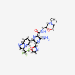 CN1CCOC(CNC(=O)c2nc(-c3ccc4ncc(C(F)(F)F)n4c3)c(-c3ncco3)nc2N)C1